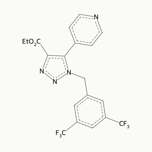 CCOC(=O)c1nnn(Cc2cc(C(F)(F)F)cc(C(F)(F)F)c2)c1-c1ccncc1